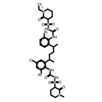 CC(C)c1cc(Cl)cc(C(C)CCC(C)c2cccc(C(C)C)c2NC(=O)NS(=O)(=O)C2CCCN(CC(F)(F)F)C2=O)c1NC(=O)NS(=O)(=O)C1CCCN(C)C1=O